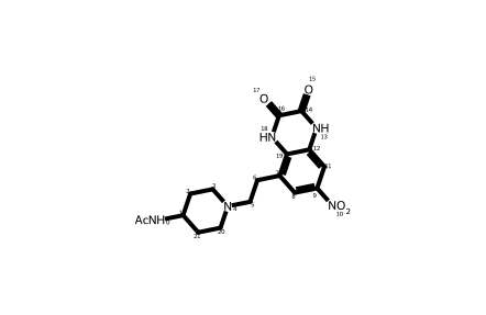 CC(=O)NC1CCN(CCc2cc([N+](=O)[O-])cc3[nH]c(=O)c(=O)[nH]c23)CC1